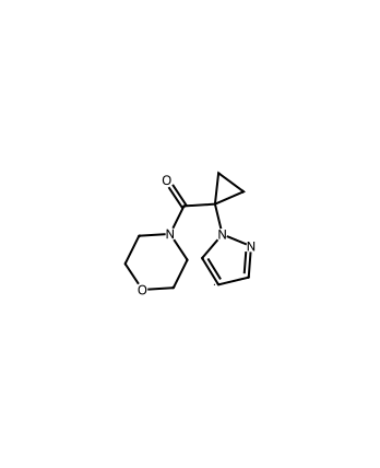 O=C(N1CCOCC1)C1(n2c[c]cn2)CC1